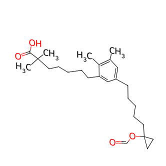 Cc1cc(CCCCCC2(OC=O)CC2)cc(CCCCCC(C)(C)C(=O)O)c1C